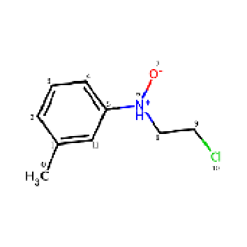 Cc1cccc([NH+]([O-])CCCl)c1